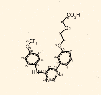 O=C(O)COCCOc1cccc(-c2cc(Nc3ccc(OC(F)(F)F)cc3)ncn2)c1